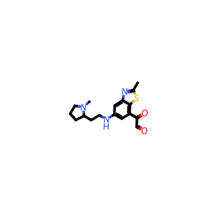 Cc1nc2cc(NCCC3CCCN3C)cc(C(=O)C=O)c2s1